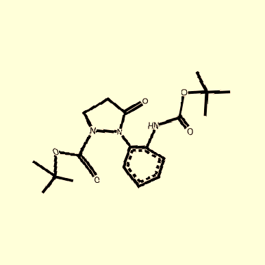 CC(C)(C)OC(=O)Nc1ccccc1N1C(=O)CCN1C(=O)OC(C)(C)C